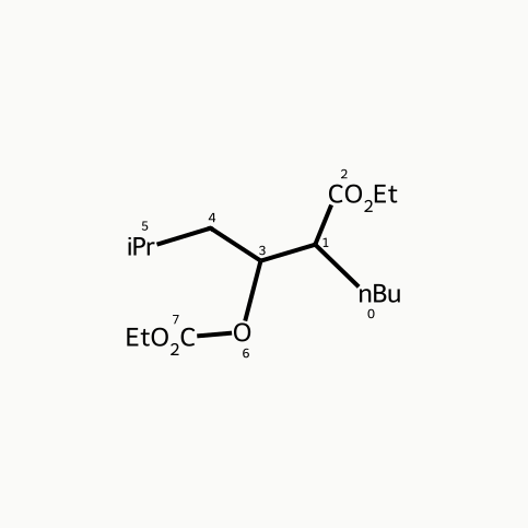 CCCCC(C(=O)OCC)C(CC(C)C)OC(=O)OCC